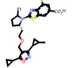 CCC1CC[C@@H](CCOCc2c(C3CC3C)noc2C2CC2)N1c1nc2c(F)cc(C(=O)O)cc2s1